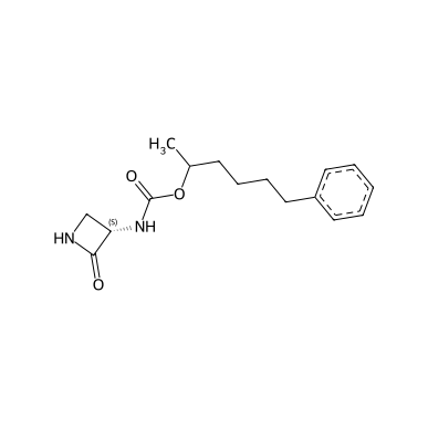 CC(CCCCc1ccccc1)OC(=O)N[C@H]1CNC1=O